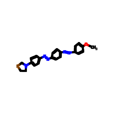 COc1ccc(N=Nc2ccc(N=Nc3ccc(N4CCSC4)cc3)cc2)cc1